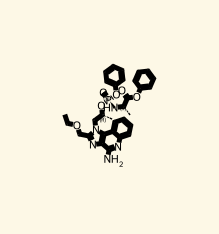 CCOCc1nc2c(N)nc3ccccc3c2n1C[C@@H](C)O[P@@](=O)(N[C@@H](C)C(=O)Oc1ccccc1)Oc1ccccc1